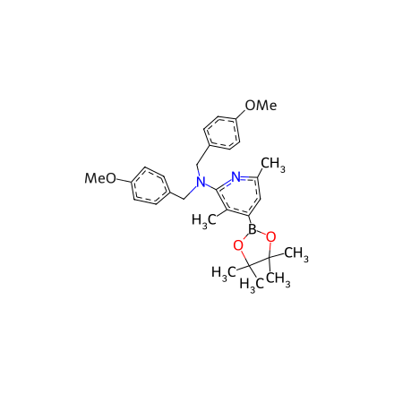 COc1ccc(CN(Cc2ccc(OC)cc2)c2nc(C)cc(B3OC(C)(C)C(C)(C)O3)c2C)cc1